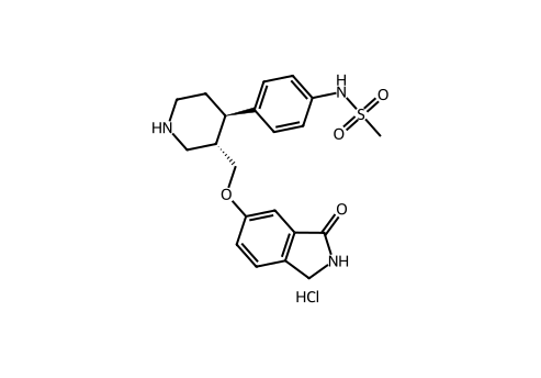 CS(=O)(=O)Nc1ccc([C@@H]2CCNC[C@H]2COc2ccc3c(c2)C(=O)NC3)cc1.Cl